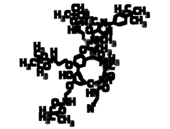 Cc1nc(-c2ccc(C(C)(C)C)cc2)nc(C)c1C(=O)N[C@@H](CCNC(=O)OC(C)(C)C)C(=O)N(C)[C@@H]1C(=O)N[C@@H](C)C(=O)N[C@H](C(=O)NCC#N)Cc2cc(OCCNC(=O)OC(C)(C)C)c(O)c(c2)-c2cc1ccc2OCCNC(=O)OC(C)(C)C